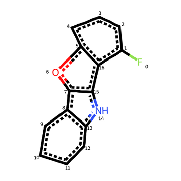 Fc1cccc2oc3c4ccccc4[nH]c3c12